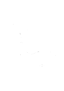 COc1cccc(C(=O)CNC(=O)C2CCC2)c1